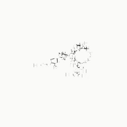 CCOc1ccc(-c2nnn(C3C[C@H]4C(=O)N[C@@]5(C(=O)O)C[C@H]5CCCCCCC[C@@H](NC(=O)OC(C)(C)C)C(=O)N4C3)n2)cc1Br